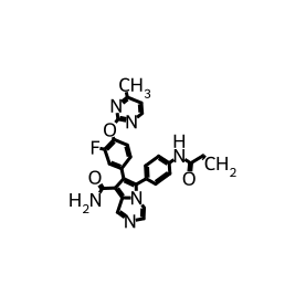 C=CC(=O)Nc1ccc(-c2c(-c3ccc(Oc4nccc(C)n4)c(F)c3)c(C(N)=O)c3cnccn23)cc1